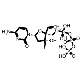 C=C[C@]1(COP(=O)(O)OP(=O)(O)OP(=O)(O)O)O[C@@H](n2ccc(N)nc2=O)C[C@]1(O)F